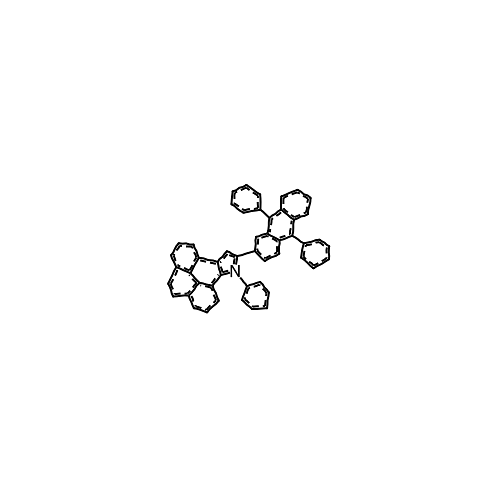 c1ccc(-c2c3ccccc3c(-c3ccccc3)c3cc(-c4cc5c6cccc7ccc8cccc(c8c76)c5n4-c4ccccc4)ccc23)cc1